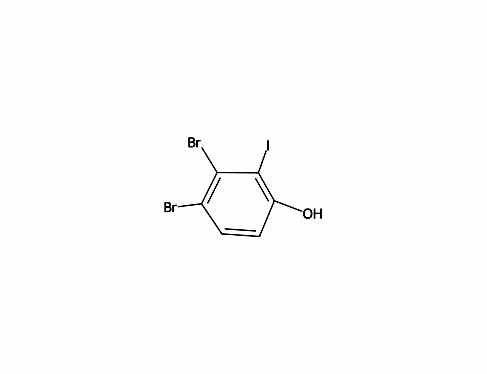 Oc1ccc(Br)c(Br)c1I